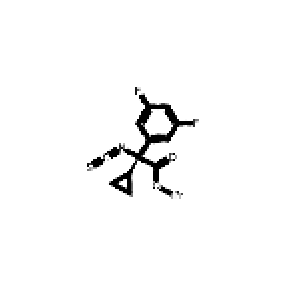 CC(C)OC(=O)[C@](N=C=S)(c1cc(F)cc(F)c1)C1CC1